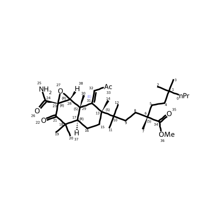 CCCC(C)(C)CC[C@@](C)(CCC(C)(C)[C@]1(C)CC[C@H]2C(C)(C)C(=O)[C@]3(C(N)=O)O[C@@H]3[C@]2(C)/C1=C/C(C)=O)C(=O)OC